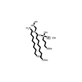 CCCCCCCCCCCCCCCCCCN.CCCCCCCCCCCCCCCCCCNCNCCC.CNCCC[Si](O)(O)O.Cl.Cl